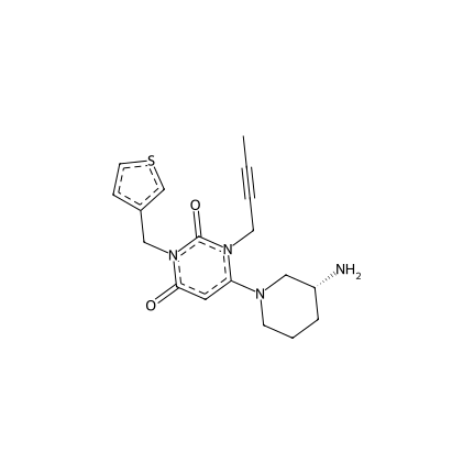 CC#CCn1c(N2CCC[C@@H](N)C2)cc(=O)n(Cc2ccsc2)c1=O